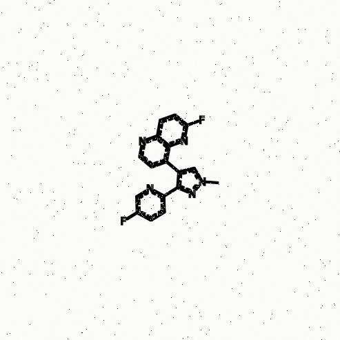 Cn1cc(-c2ccnc3ccc(F)nc23)c(-c2ccc(F)cn2)n1